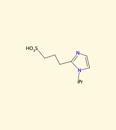 CC(C)n1ccnc1CCCS(=O)(=O)O